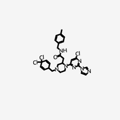 Cc1ccc(CNC(=O)CC2CN(CC3C=CC(Cl)(Cl)C=C3)CCN2c2cc(Cl)nc(-n3ccnc3)n2)cc1